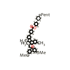 CCCCC[C@H]1CC[C@H](c2ccc(OC(=O)c3ccc(-c4ccc5c(c4)-c4c(c6c(c7cc(C)ccc47)OC(c4ccc(OC)cc4)(c4ccc(OC)cc4)C=C6)C5(C)C)cc3)cc2)CC1